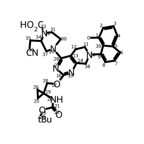 Cc1cccc2cccc(N3CCc4c(nc(OCC5(NC(=O)OC(C)(C)C)CC5)nc4N4CCN(C(=O)O)C(CC#N)C4)C3)c12